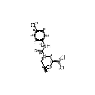 C#CCN(CC(Cl)=C(Cl)Cl)C(=O)Nc1ccc(Cl)cc1